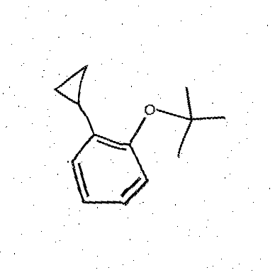 CC(C)(C)Oc1ccc[c]c1C1CC1